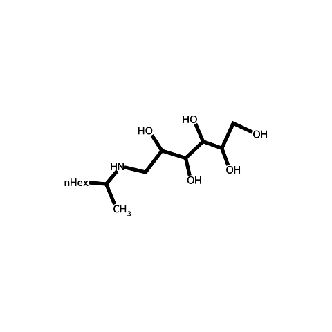 CCCCCCC(C)NCC(O)C(O)C(O)C(O)CO